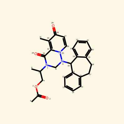 CC(=O)OCC(C)N1CN(C2c3ccccc3CCc3ccccc32)n2ccc(=O)c(C)c2C1=O